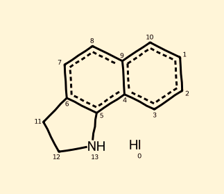 I.c1ccc2c3c(ccc2c1)CCN3